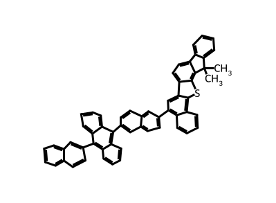 CC1(C)c2ccccc2-c2ccc3c(sc4c5ccccc5c(-c5ccc6cc(-c7c8ccccc8c(-c8ccc9ccccc9c8)c8ccccc78)ccc6c5)cc34)c21